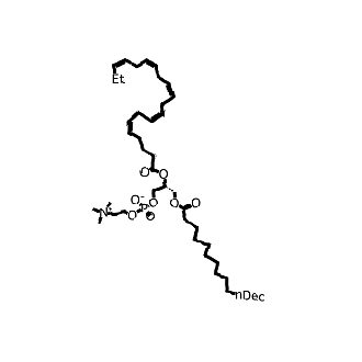 CC/C=C\C/C=C\C/C=C\C/C=C\C/C=C\CCCC(=O)O[C@H](COC(=O)CCCCCCCCCCCCCCCCCCC)COP(=O)([O-])OCC[N+](C)(C)C